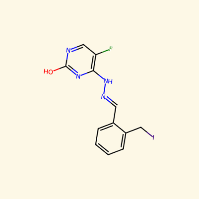 Oc1ncc(F)c(N/N=C/c2ccccc2CI)n1